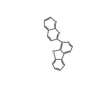 c1cnc2nc(-c3nccc4c3oc3ccccc34)ccc2c1